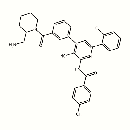 N#Cc1c(-c2cccc(C(=O)N3CCCCC3CN)c2)cc(-c2ccccc2O)nc1NC(=O)c1ccc(C(F)(F)F)cc1